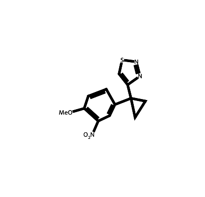 COc1ccc(C2(c3csnn3)CC2)cc1[N+](=O)[O-]